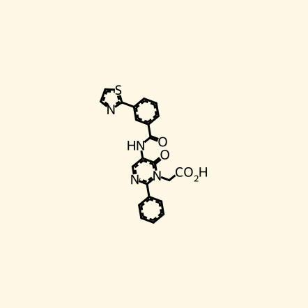 O=C(O)Cn1c(-c2ccccc2)ncc(NC(=O)c2cccc(-c3nccs3)c2)c1=O